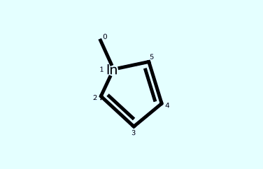 [CH3][In]1[C]=CC=[CH]1